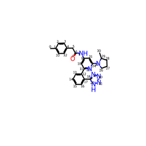 Cc1ccc(CC(=O)Nc2cc(-c3ccccc3-c3nnn[nH]3)nc(N3CCCC3C)c2)cc1